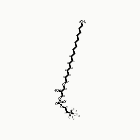 CCCCCCCCCCCCCCCCCCOCC(O)COP(=O)([O-])OCC[N+](C)(C)C